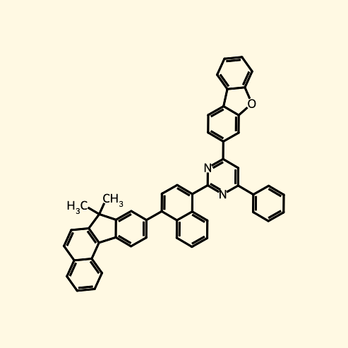 CC1(C)c2cc(-c3ccc(-c4nc(-c5ccccc5)cc(-c5ccc6c(c5)oc5ccccc56)n4)c4ccccc34)ccc2-c2c1ccc1ccccc21